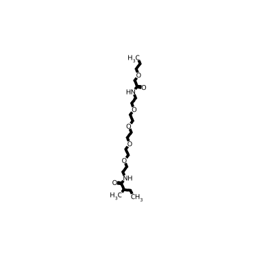 CCCOCC(=O)NCCOCCOCCOCCOCCNC(=O)C(C)CC